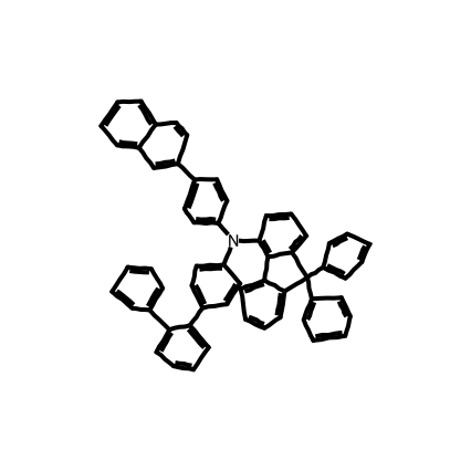 c1ccc(-c2ccccc2-c2ccc(N(c3ccc(-c4ccc5ccccc5c4)cc3)c3cccc4c3-c3ccccc3C4(c3ccccc3)c3ccccc3)cc2)cc1